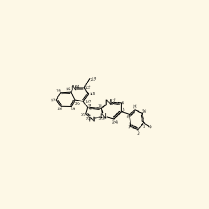 Cc1ccc(-c2cnc3c(-c4cc(C)nc5ccccc45)cnn3c2)cc1